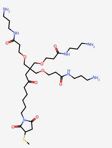 CSC1CC(=O)N(CCCCCC(=O)CC(COCCC(=O)NCCCN)(COCCC(=O)NCCCN)COCCC(=O)NCCCN)C1=O